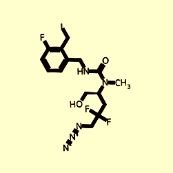 CN(C(=O)NCc1cccc(F)c1CI)[C@H](CO)CC(F)(F)CN=[N+]=[N-]